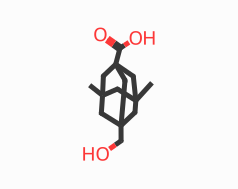 CC12CC3(C)CC(CO)(C1)CC(C(=O)O)(C2)C3